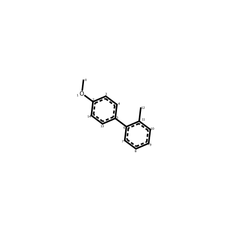 COc1ccc(-c2cc[c]cc2C)cc1